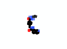 CCCNNC(=O)c1ccc(CNC(=O)c2ccc3ccncc3c2)cc1